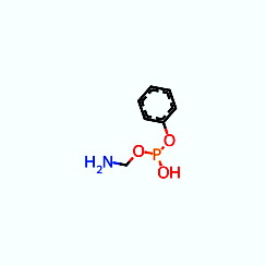 NCOP(O)Oc1ccccc1